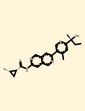 CC[C@@](C)(O)c1cc(C)c(-c2cc3cnc(NC(=O)[C@@H]4C[C@@H]4F)cc3cn2)cn1